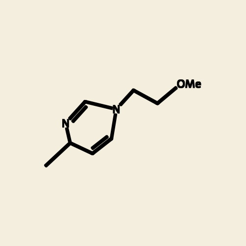 COCCN1C=CC(C)N=C1